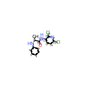 C[C@H](Nc1ccccc1)C(=O)Nc1ccc(Cl)nc1Cl